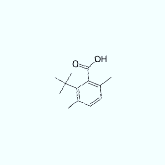 Cc1ccc(C)c(C(C)(C)C)c1C(=O)O